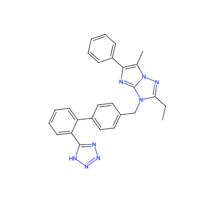 CCc1nn2c(C)c(-c3ccccc3)nc2n1Cc1ccc(-c2ccccc2-c2nnn[nH]2)cc1